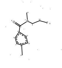 Cc1ccc(C(=O)N(C)CCF)cc1